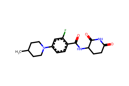 CC1CCN(c2ccc(C(=O)NC3CCC(=O)NC3=O)c(F)c2)CC1